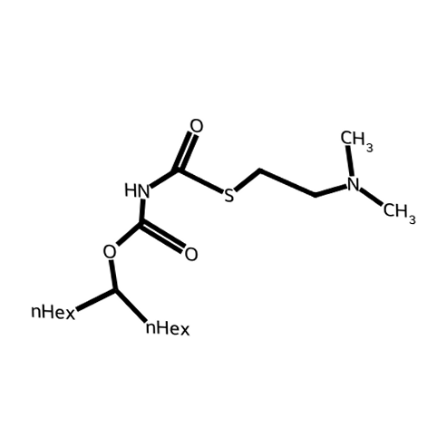 CCCCCCC(CCCCCC)OC(=O)NC(=O)SCCN(C)C